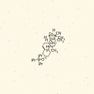 CC(C)[Si](O[C@H]1CC[C@@]2(C)C(=CC[C@H]3[C@@H]4[C@H]5C[C@H]5[C@@](C)(C#N)[C@@]4(C)CC[C@@H]32)C1)(C(C)C)C(C)C